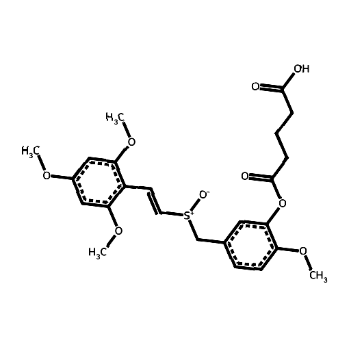 COc1cc(OC)c(C=C[S+]([O-])Cc2ccc(OC)c(OC(=O)CCCC(=O)O)c2)c(OC)c1